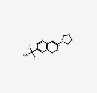 CC(C)(C)c1ccc2c(c1)CCC(N1CCCC1)=C2